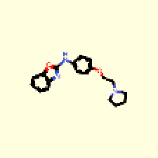 c1ccc2oc(Nc3ccc(OCCN4CCCC4)cc3)nc2c1